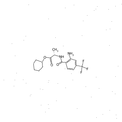 C[C@H](NC(=O)c1ccc(C(F)(F)F)cc1N)C(=O)OC1CCCCC1